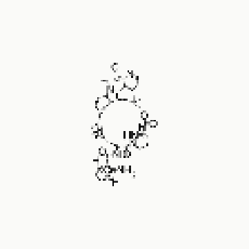 CCn1c(-c2cccnc2[C@H](C)OC)c2c3cc(ccc31)-c1csc(n1)C[C@H](NC(=O)C1[C@@H](N)[C@@H]3CC[C@H]1O3)C(=O)N1CCC[C@H](N1)C(=O)OCC(C)(C)C2